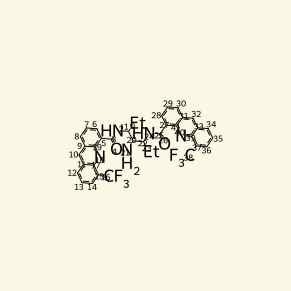 CCC(NC(=O)c1cccc2cc3cccc(C(F)(F)F)c3nc12)C(N)C(CC)NC(=O)c1cccc2cc3cccc(C(F)(F)F)c3nc12